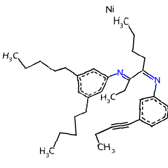 CCC#Cc1cccc(N=C(CCCC)C(CC)=Nc2cc(CCCCC)cc(CCCCC)c2)c1.[Ni]